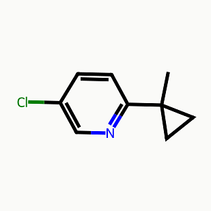 CC1(c2ccc(Cl)cn2)CC1